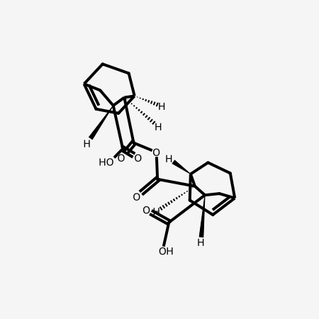 O=C(OC(=O)[C@H]1[C@@H]2CC=C(CC2)C[C@@H]1C(=O)O)[C@@H]1[C@@H]2CC=C(CC2)C[C@H]1C(=O)O